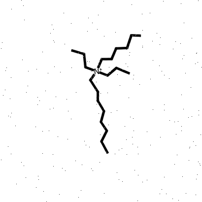 CCCCCCCC[N+](CCC)(CCC)CCCCCC